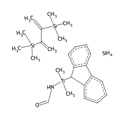 C=C(C(=C)[Si](C)(C)C)[Si](C)(C)C.[CH3][Ti]([CH3])([NH]C=O)[CH]1c2ccccc2-c2ccccc21.[SiH4]